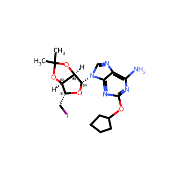 CC1(C)O[C@@H]2[C@H](O1)[C@@H](CI)O[C@H]2n1cnc2c(N)nc(OC3CCCC3)nc21